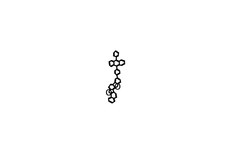 c1ccc(-c2c3ccccc3c(-c3ccc(-c4ccc5oc6c(ccc7oc8c9ccccc9ccc8c76)c5c4)cc3)c3ccccc23)cc1